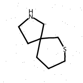 [CH]1NCCC12CCCSC2